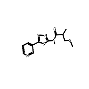 CSCC(C)C(=O)N(C)c1nnc(-c2cccnc2)s1